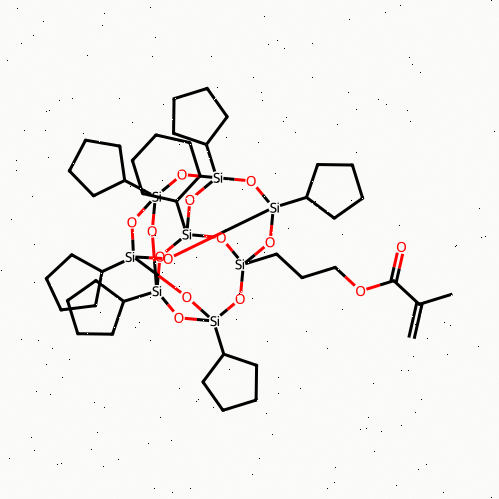 C=C(C)C(=O)OCCC[Si]12O[Si]3(C4CCCCC4)O[Si]4(C5CCCC5)O[Si](C5CCCC5)(O1)O[Si]1(C5CCCC5)O[Si](C5CCCC5)(O2)O[Si](C2CCCC2)(O3)O[Si](C2CCCC2)(O4)O1